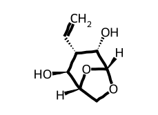 C=C[C@@H]1[C@H](O)[C@@H]2OC[C@@H](O2)[C@H]1O